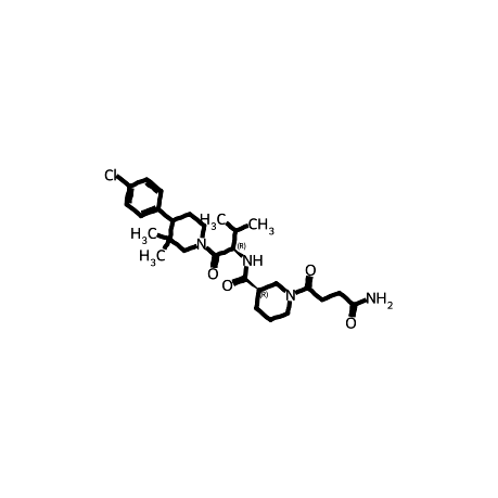 CC(C)[C@@H](NC(=O)[C@@H]1CCCN(C(=O)CCC(N)=O)C1)C(=O)N1CCC(c2ccc(Cl)cc2)C(C)(C)C1